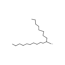 [CH2]C(CCCCCCCC)CCCCCCCCCC